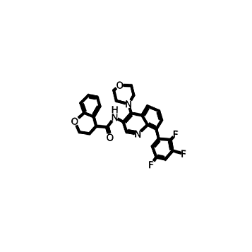 O=C(Nc1cnc2c(-c3cc(F)cc(F)c3F)cccc2c1N1CCOCC1)C1CCOc2ccccc21